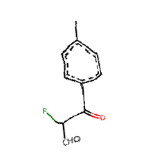 Cc1ccc(C(=O)C(F)C=O)cc1